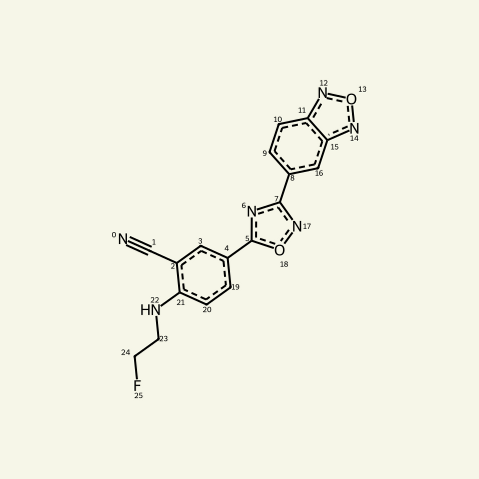 N#Cc1cc(-c2nc(-c3ccc4nonc4c3)no2)ccc1NCCF